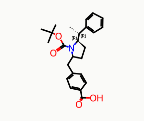 C[C@H](c1ccccc1)[C@H]1CCC(Cc2ccc(C(=O)O)cc2)N1C(=O)OC(C)(C)C